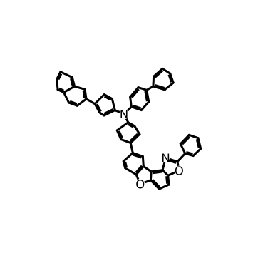 c1ccc(-c2ccc(N(c3ccc(-c4ccc5ccccc5c4)cc3)c3ccc(-c4ccc5oc6ccc7oc(-c8ccccc8)nc7c6c5c4)cc3)cc2)cc1